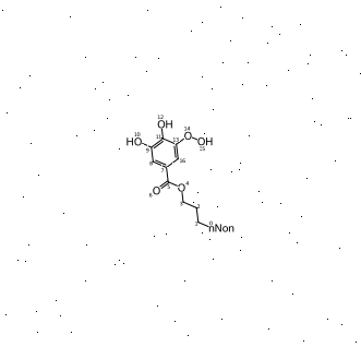 CCCCCCCCCCCCOC(=O)c1cc(O)c(O)c(OO)c1